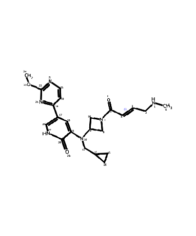 CNC/C=C/C(=O)N1CC(N(CC2CC2)c2cc(-c3ccnc(OC)n3)c[nH]c2=O)C1